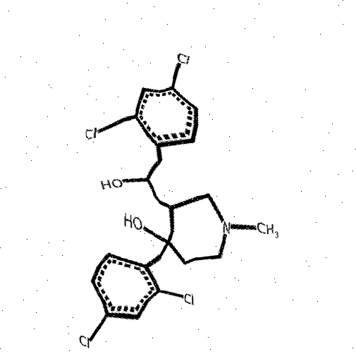 CN1CCC(O)(c2ccc(Cl)cc2Cl)C(C(O)c2ccc(Cl)cc2Cl)C1